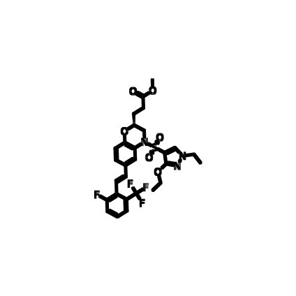 CCOc1nn(CC)cc1S(=O)(=O)N1C[C@H](CCC(=O)OC)Oc2ccc(/C=C/c3c(F)cccc3C(F)(F)F)cc21